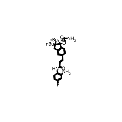 CCCCC1(CCCC)Cc2cc(C=CC(=O)Nc3ccc(F)cc3N)ccc2C1(CCCC)OC(N)=O